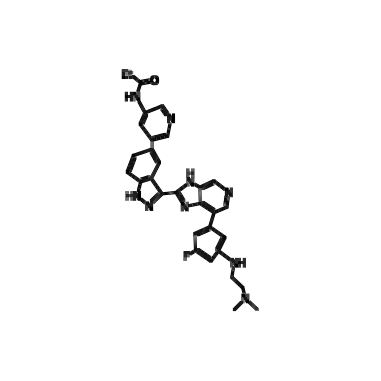 CCC(=O)Nc1cncc(-c2ccc3[nH]nc(-c4nc5c(-c6cc(F)cc(NCCN(C)C)c6)cncc5[nH]4)c3c2)c1